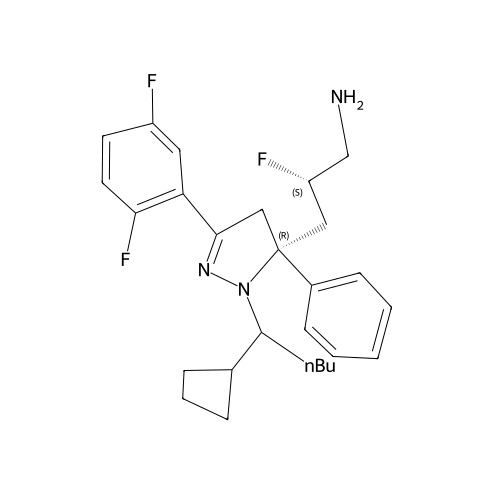 CCCCC(C1CCC1)N1N=C(c2cc(F)ccc2F)C[C@@]1(C[C@H](F)CN)c1ccccc1